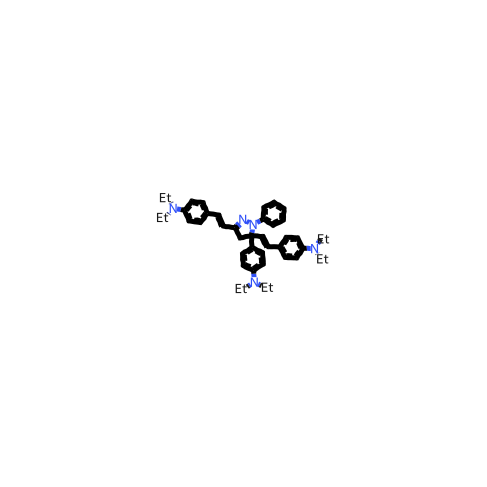 CCN(CC)c1ccc(C=CC2=NN(c3ccccc3)C(C=Cc3ccc(N(CC)CC)cc3)(c3ccc(N(CC)CC)cc3)C2)cc1